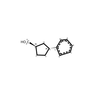 O=C(O)[C@@H]1CC[C@@H](c2ccccc2)C1